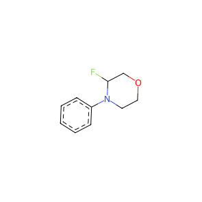 FC1COCCN1c1ccccc1